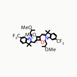 COC1=C(/C=C2\N(CCC(C)OC)c3cc(C(F)(F)F)ccc3C2(C)C)C(=O)/C1=C/C1=[N+](CCC(C)OC)c2cc(C(F)(F)F)ccc2C1(C)C